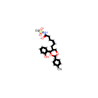 CCS(=O)(=O)NC(=O)CC/C=C\CC1COC(c2ccc(C#N)cc2)OC1c1ccccc1O